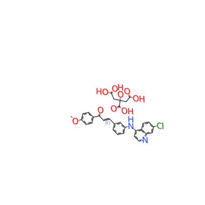 COc1ccc(C(=O)/C=C/c2cccc(Nc3ccnc4cc(Cl)ccc34)c2)cc1.O=C(O)CC(O)(CC(=O)O)C(=O)O